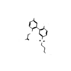 Cc1ccc(S(=O)(=O)CCCO)cc1-c1cc(Cl)ccc1OCC(=O)O